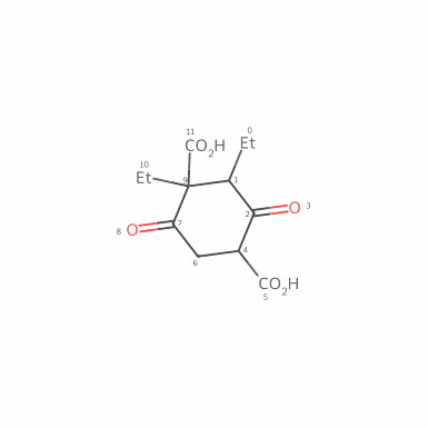 CCC1C(=O)C(C(=O)O)CC(=O)C1(CC)C(=O)O